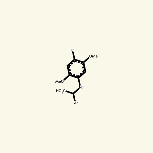 COc1cc(NC(C(C)=O)C(=O)O)c(OC)cc1Cl